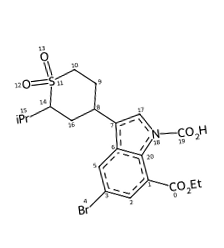 CCOC(=O)c1cc(Br)cc2c(C3CCS(=O)(=O)C(C(C)C)C3)cn(C(=O)O)c12